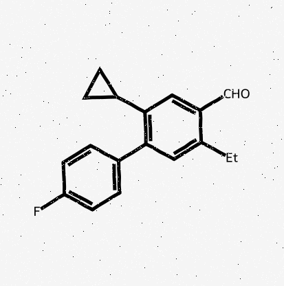 CCc1cc(-c2ccc(F)cc2)c(C2CC2)cc1C=O